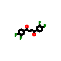 O=C(/C=C/C(=O)c1ccc(F)c(F)c1)c1ccc(F)c(F)c1